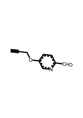 C#CCOc1ccc(C=O)nc1